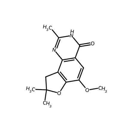 COc1cc2c(=O)[nH]c(C)nc2c2c1OC(C)(C)C2